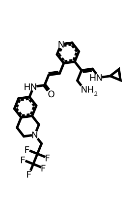 NC/C(=C\NC1CC1)c1ccncc1/C=C/C(=O)Nc1ccc2c(c1)CN(CC(F)(F)C(F)(F)F)CC2